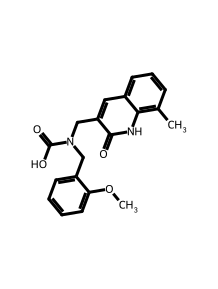 COc1ccccc1CN(Cc1cc2cccc(C)c2[nH]c1=O)C(=O)O